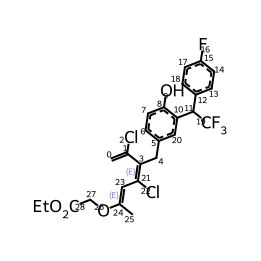 C=C(Cl)/C(Cc1ccc(O)c(C(c2ccc(F)cc2)C(F)(F)F)c1)=C(Cl)\C=C(/C)OCC(=O)OCC